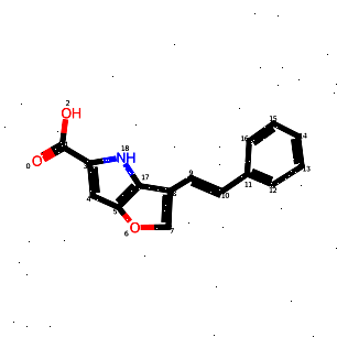 O=C(O)c1cc2occ(/C=C/c3ccccc3)c2[nH]1